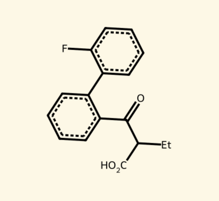 CCC(C(=O)O)C(=O)c1ccccc1-c1ccccc1F